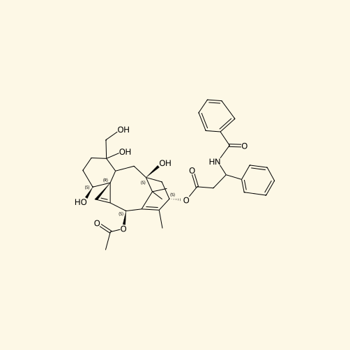 CC(=O)O[C@H]1C2=C[C@@]23C(C[C@]2(O)C[C@H](OC(=O)CC(NC(=O)c4ccccc4)c4ccccc4)C(C)=C1C2(C)C)C(O)(CO)CC[C@@H]3O